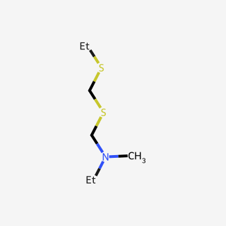 CCSCSCN(C)CC